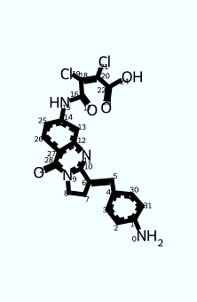 Nc1ccc(C=C2CCn3c2nc2cc(NC(=O)/C(Cl)=C(/Cl)C(=O)O)ccc2c3=O)cc1